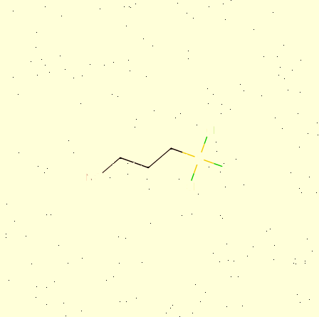 N#CCCCS(Cl)(Cl)Cl